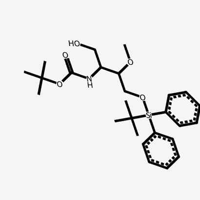 COC(CO[Si](c1ccccc1)(c1ccccc1)C(C)(C)C)C(CO)NC(=O)OC(C)(C)C